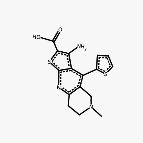 CN1CCc2nc3sc(C(=O)O)c(N)c3c(-c3cccs3)c2C1